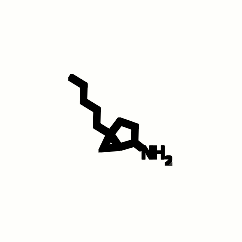 CCCCCC12CCC(N)C1C2